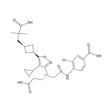 CC(C)(C[C@H]1C[C@@H](c2onc([C@@H](CCC(=O)O)CC(=O)Nc3ccc(C(=O)O)cc3Cl)c2C2CC2)C1)C(=O)O